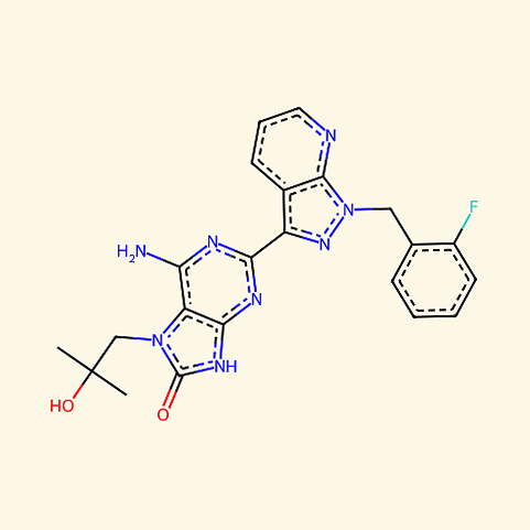 CC(C)(O)Cn1c(=O)[nH]c2nc(-c3nn(Cc4ccccc4F)c4ncccc34)nc(N)c21